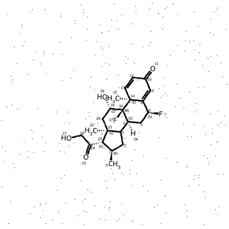 C[C@@H]1CC2[C@@H]3C[C@H](F)C4=CC(=O)C=C[C@]4(C)[C@@]3(F)[C@@H](O)C[C@]2(C)[C@H]1C(=O)CO